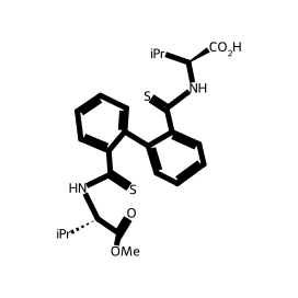 COC(=O)[C@@H](NC(=S)c1ccccc1-c1ccccc1C(=S)N[C@H](C(=O)O)C(C)C)C(C)C